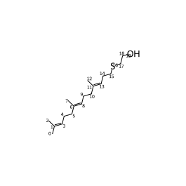 CC(C)=CCC/C(C)=C/CC/C(C)=C/CCSCCO